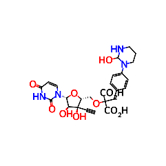 C#C[C@@]1(O)[C@@H](COC(Cc2ccc(N3CCCNC3O)cc2)(C(=O)O)C(=O)O)O[C@@H](n2ccc(=O)[nH]c2=O)[C@@H]1O